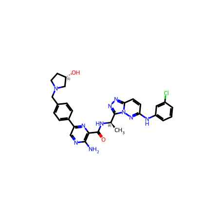 C[C@@H](NC(=O)c1nc(-c2ccc(CN3CC[C@H](O)C3)cc2)cnc1N)c1nnc2ccc(Nc3cccc(Cl)c3)nn12